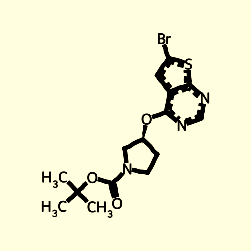 CC(C)(C)OC(=O)N1CC[C@H](Oc2ncnc3sc(Br)cc23)C1